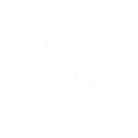 Brc1cnc2cnc(-c3ccncc3)cn12